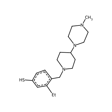 CCc1cc(S)ccc1CN1CCC(N2CCN(C)CC2)CC1